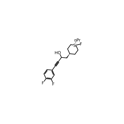 CCC[Si@]1(F)CC[C@@H](CC(O)C#Cc2ccc(F)c(F)c2)CC1